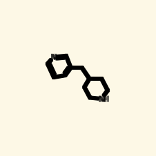 c1cncc(CC2CCNCC2)c1